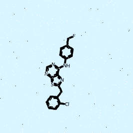 FCc1ccc(Nc2ncnc3sc(Cc4ccccc4Cl)nc23)cc1